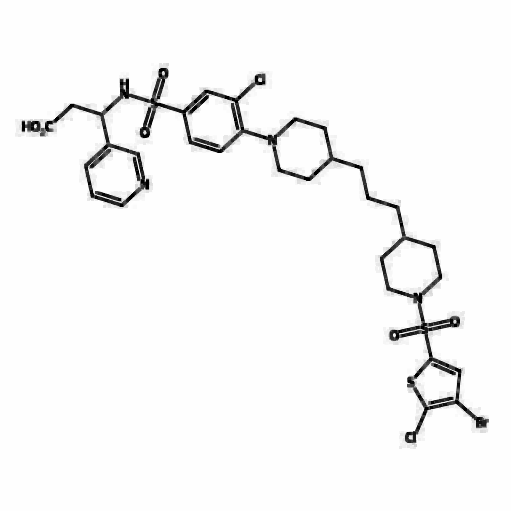 O=C(O)CC(NS(=O)(=O)c1ccc(N2CCC(CCCC3CCN(S(=O)(=O)c4cc(Br)c(Cl)s4)CC3)CC2)c(Cl)c1)c1cccnc1